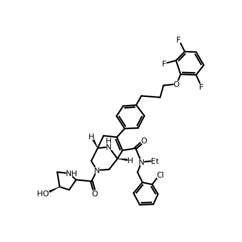 CCN(Cc1ccccc1Cl)C(=O)C1=C(c2ccc(CCCOc3c(F)ccc(F)c3F)cc2)C[C@H]2CN(C(=O)C3C[C@@H](O)CN3)C[C@@H]1N2